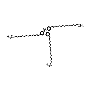 CCCCCCCCCCCCCCC=Cc1ccc(P(=O)(c2ccc(C=CCCCCCCCCCCCCCC)cc2)c2ccc(C=CCCCCCCCCCCCCCC)cc2)cc1